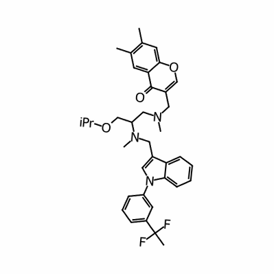 Cc1cc2occ(CN(C)CC(COC(C)C)N(C)Cc3cn(-c4cccc(C(C)(F)F)c4)c4ccccc34)c(=O)c2cc1C